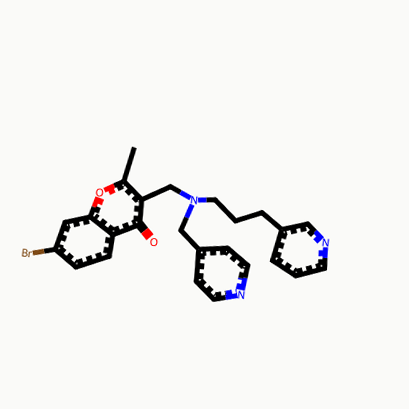 Cc1oc2cc(Br)ccc2c(=O)c1CN(CCCc1cccnc1)Cc1ccncc1